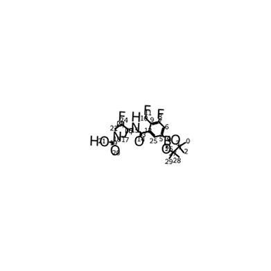 CC1(C)OB(c2cc(F)c(CF)c(C(=O)N[C@@H]3CN(C(=O)O)C[C@@H]3F)c2)OC1(C)C